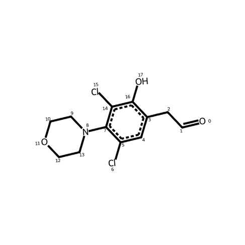 O=CCc1cc(Cl)c(N2CCOCC2)c(Cl)c1O